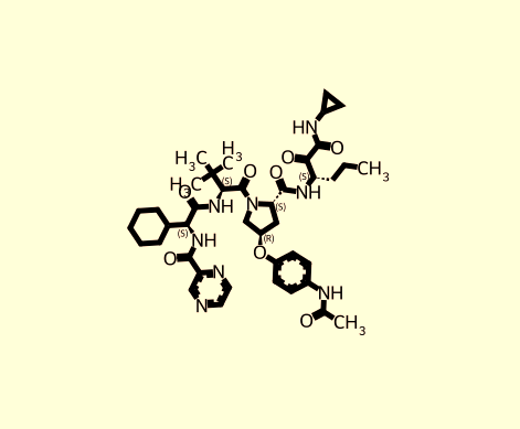 CCC[C@H](NC(=O)[C@@H]1C[C@@H](Oc2ccc(NC(C)=O)cc2)CN1C(=O)[C@@H](NC(=O)[C@@H](NC(=O)c1cnccn1)C1CCCCC1)C(C)(C)C)C(=O)C(=O)NC1CC1